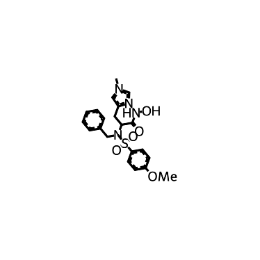 COc1ccc(S(=O)(=O)N(Cc2ccccc2)C(Cc2cn(C)cn2)C(=O)NO)cc1